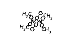 Cc1ccc(N(C2=CCC(C)C=C2)c2c3cc(-c4ccccc4)ccc3c(N(c3ccc(C)cc3)c3ccc(C)cc3)c3cc(-c4ccccc4)ccc23)cc1